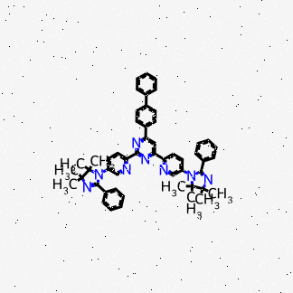 CC1(C)N=C(c2ccccc2)N(c2ccc(-c3cc(-c4ccc(-c5ccccc5)cc4)nc(-c4ccc(N5C(c6ccccc6)=NC(C)(C)C5(C)C)cn4)n3)nc2)C1(C)C